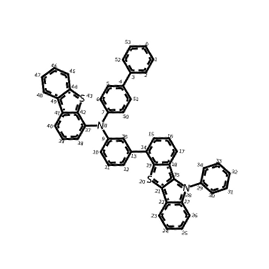 c1ccc(-c2ccc(N(c3cccc(-c4cccc5c4sc4c6ccccc6n(-c6ccccc6)c54)c3)c3cccc4c3sc3ccccc34)cc2)cc1